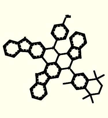 Cc1cc2c(cc1N1c3cc4c(sc5ccccc54)c4c3B(c3c1sc1ccccc31)N(c1ccc(C(C)(C)C)cc1)c1cc3sc5ccccc5c3cc1-4)C(C)(C)CCC2(C)C